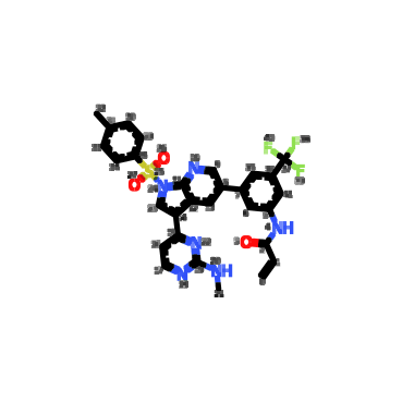 C=CC(=O)Nc1cc(-c2cnc3c(c2)c(-c2ccnc(NC)n2)cn3S(=O)(=O)c2ccc(C)cc2)cc(C(F)(F)F)c1